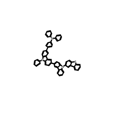 c1ccc(N(c2ccccc2)c2ccc(-c3ccc4c(c3)c3cc(-c5ccc6c(c5)c5ccccc5n6-c5ccc6sc7ccccc7c6c5)ccc3n4-c3ccccc3)cc2)cc1